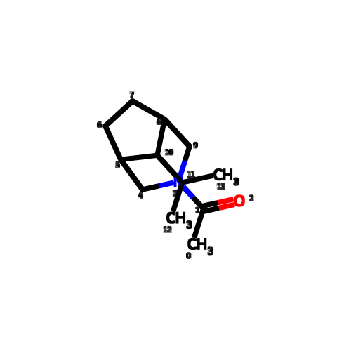 CC(=O)N1CC2CCC(C1)C2C(C)C